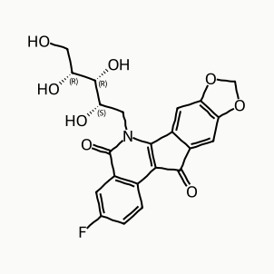 O=C1c2cc3c(cc2-c2c1c1ccc(F)cc1c(=O)n2C[C@H](O)[C@@H](O)[C@H](O)CO)OCO3